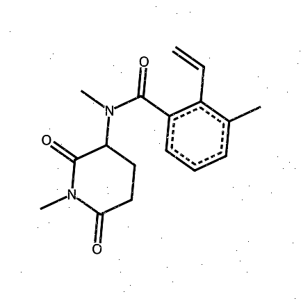 C=Cc1c(C)cccc1C(=O)N(C)C1CCC(=O)N(C)C1=O